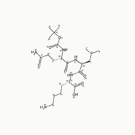 CC(C)C[C@H](NC(=O)[C@H](CCC(N)=O)NC(=O)OC(C)(C)C)C(=O)N[C@@H](CCCCN)C(=O)O